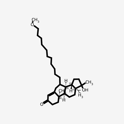 COCCCCCCCCCCCC1CC2=CC(=O)CC[C@]2(C)[C@@H]2CC[C@@]3(C)[C@@H](CCC3(C)O)[C@H]12